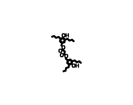 CCCCc1cc(COC(=O)CC(=O)OCc2cc(CCCC)c(O)c(CCCC)c2)cc(CCCC)c1O